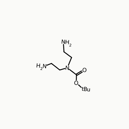 CC(C)(C)OC(=O)N(CCN)CCN